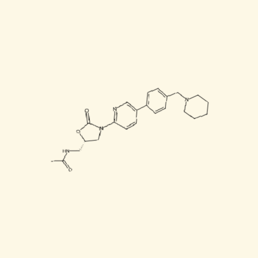 CC(=O)NC[C@H]1CN(c2ccc(-c3ccc(CN4CCCCC4)cc3)cn2)C(=O)O1